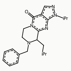 CC(C)CC1c2nc3c(cnn3C(C)C)c(=O)n2CCN1Cc1ccccc1